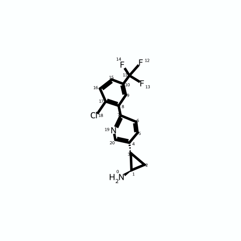 N[C@@H]1C[C@H]1c1ccc(-c2cc(C(F)(F)F)ccc2Cl)nc1